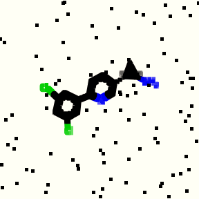 N[C@@H]1C[C@H]1c1ccc(-c2cc(Cl)cc(Cl)c2)nc1